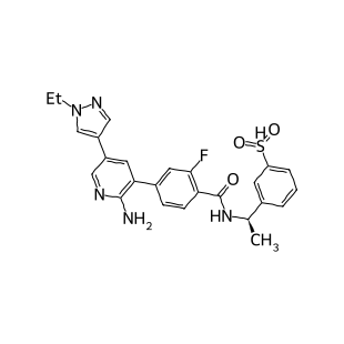 CCn1cc(-c2cnc(N)c(-c3ccc(C(=O)N[C@H](C)c4cccc([SH](=O)=O)c4)c(F)c3)c2)cn1